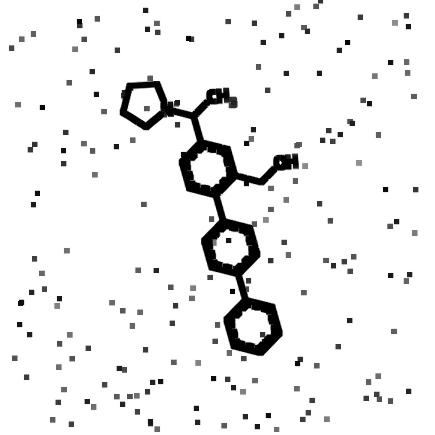 CC(c1ccc(-c2ccc(-c3ccccc3)cc2)c(CO)c1)N1CCCC1